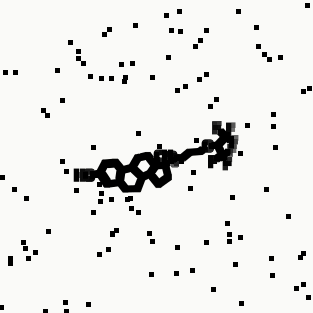 CC12CCC3c4ccc(O)cc4CCC3C1CCC2OCCCOC(C(F)(F)F)C(F)(F)F